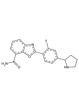 NC(=O)c1cccc2nc(-c3ccc(C4CCCN4)cc3F)oc12